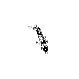 CC(C)(C)OC(=O)N1CCN2CC(CNC(=O)Nc3snc(OCc4c(F)cc(Cl)cc4F)c3C(N)=O)CCC2C1